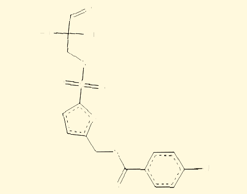 CC(C)(C=O)CNS(=O)(=O)c1ccc(CNC(=O)c2ccc(Cl)cc2)s1